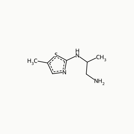 Cc1cnc(NC(C)CN)s1